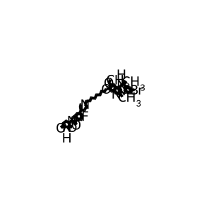 COc1cc2c(NC(C)c3cccc(Br)c3)nc(C)nc2cc1OCCCCCCCCN1CCC(c2cc3c(cc2F)C(=O)N(C2CCC(=O)NC2=O)C3)CC1